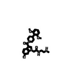 CNCCNC(=O)Cn1cc(C(=O)N2CCC(c3c(OC)cccc3OC)CC2)c2ccc(Cl)cc21